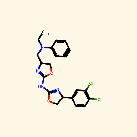 CCN(CC1COC(NC2=NC(c3ccc(Cl)c(Cl)c3)CO2)=N1)c1cc#ccc1